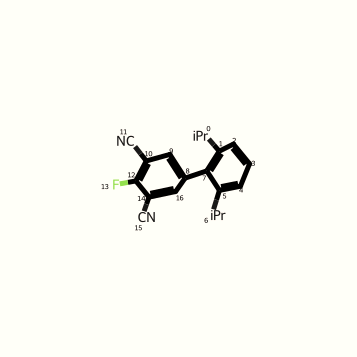 CC(C)c1cccc(C(C)C)c1-c1cc(C#N)c(F)c(C#N)c1